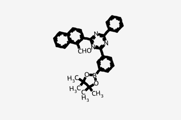 CC1(C)OB(c2cccc(-c3nc(-c4ccccc4)nc(-c4ccc5ccccc5c4C=O)n3)c2)OC1(C)C